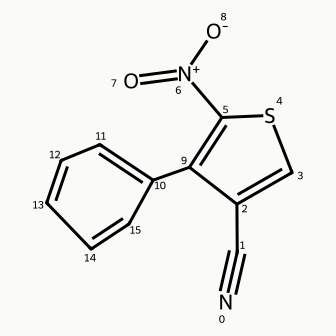 N#Cc1csc([N+](=O)[O-])c1-c1ccccc1